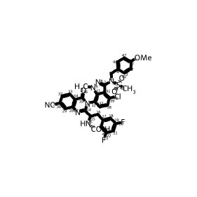 COc1ccc(CN(c2nn(C)c3c(-n4c(C(Cc5cc(F)cc(F)c5)NC(=O)O)nc5cc(C#N)ccc5c4=O)ccc(Cl)c23)S(C)(=O)=O)cc1